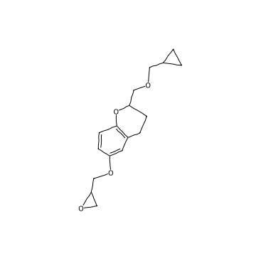 c1cc2c(cc1OCC1CO1)CCC(COCC1CC1)O2